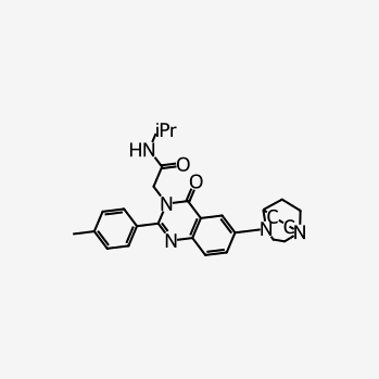 Cc1ccc(-c2nc3ccc(N4CCN5CCC4CC5)cc3c(=O)n2CC(=O)NC(C)C)cc1